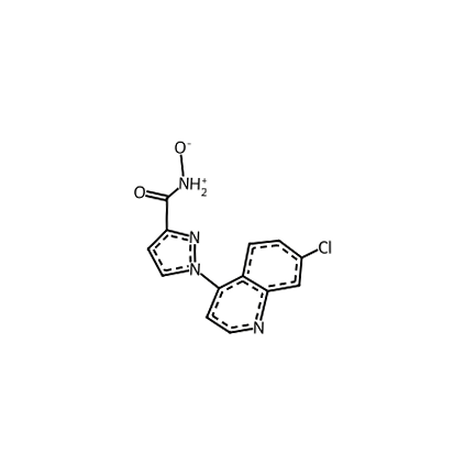 O=C([NH2+][O-])c1ccn(-c2ccnc3cc(Cl)ccc23)n1